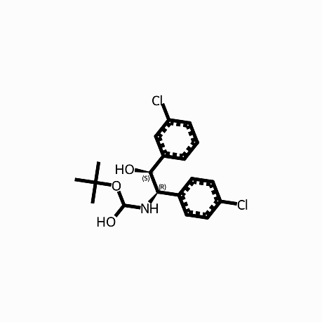 CC(C)(C)OC(O)N[C@H](c1ccc(Cl)cc1)[C@@H](O)c1cccc(Cl)c1